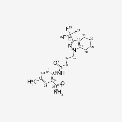 Cc1ccc(NC(=O)CCCn2nc(C(F)(F)F)c3c2CCCC3)c(C(N)=O)c1